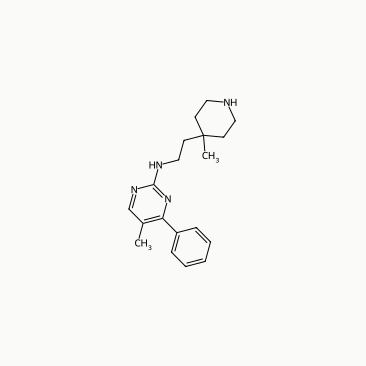 Cc1cnc(NCCC2(C)CCNCC2)nc1-c1ccccc1